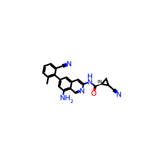 Cc1cccc(C#N)c1-c1cc(N)c2cnc(NC(=O)[C@H]3CC3C#N)cc2c1